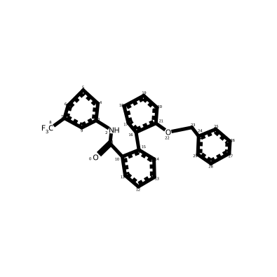 O=C(Nc1cccc(C(F)(F)F)c1)c1ccccc1-c1ccccc1OCc1ccccc1